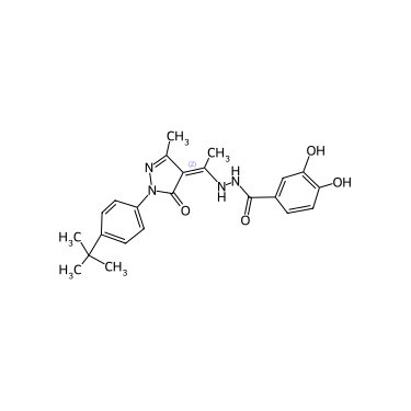 CC1=NN(c2ccc(C(C)(C)C)cc2)C(=O)/C1=C(/C)NNC(=O)c1ccc(O)c(O)c1